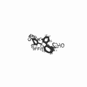 CCCCCOc1ccc(COc2cccc(C=O)c2-c2cccc(C(=O)OCC)c2)cc1OCCCCC